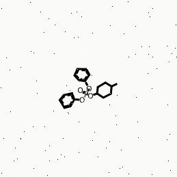 CC1CCC(OP(=O)(Oc2ccccc2)Oc2ccccc2)CC1